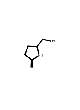 OCC1CCC(=S)N1